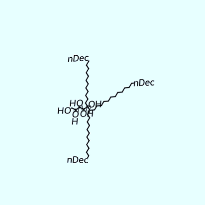 CCCCCCCCCCCCCCCCCCCCCC[C](CCCCCCCCCCCCCCCCCCCCCC)[C@](O)(CCCCCCCCCCCCCCCCCCCCCC)[C@@H](O)[C@H](O)[C@H](O)CO